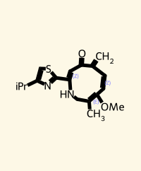 C=C1/C=C\C(OC)=C(\C)CN/C(c2nc(C(C)C)cs2)=C\C1=O